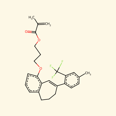 C=C(C)C(=O)OCCCOc1cccc2c1C=C(c1ccc(C)cc1C(F)(F)F)CCC2